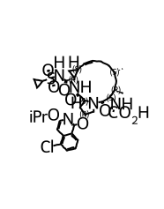 CC(C)Oc1cc2c(Cl)cccc2c(O[C@@H]2C[C@H]3C(=O)N[C@]4(C(=O)NS(=O)(=O)C5CC5)C[C@H]4C=CCC[C@H](C)C[C@@H](C)[C@H](NC(=O)O)C(=O)N3C2)n1